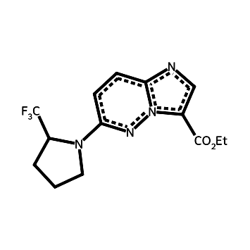 CCOC(=O)c1cnc2ccc(N3CCCC3C(F)(F)F)nn12